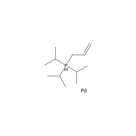 C=CC[PH](C(C)C)(C(C)C)C(C)C.[Pd]